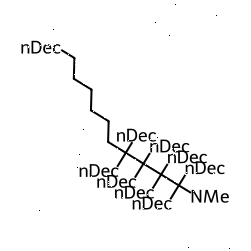 CCCCCCCCCCCCCCCCC(CCCCCCCCCC)(CCCCCCCCCC)C(CCCCCCCCCC)(CCCCCCCCCC)C(CCCCCCCCCC)(CCCCCCCCCC)C(CCCCCCCCCC)(CCCCCCCCCC)NC